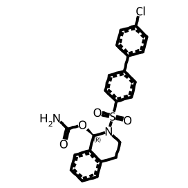 NC(=O)O[C@@H]1c2ccccc2CCN1S(=O)(=O)c1ccc(-c2ccc(Cl)cc2)cc1